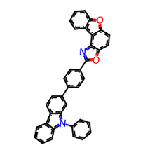 c1ccc(-n2c3ccccc3c3ccc(-c4ccc(-c5nc6c(ccc7oc8ccccc8c76)o5)cc4)cc32)cc1